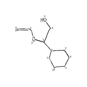 C=COC(CO)C1CCCCC1